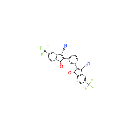 N#CC1=C(c2cccc(C3=C(C#N)c4cc(C(F)(F)F)ccc4C3=O)c2)C(=O)c2ccc(C(F)(F)F)cc21